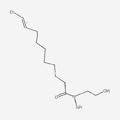 CC/C=C/CCCCCCCC(=O)N(CCC)CCO